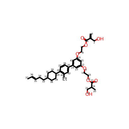 C=C(CO)C(=O)OCCOc1cc(OCCOC(=O)C(C)CO)cc(-c2ccc(C3CCC(CC/C=C/C)CC3)c(CC)c2)c1